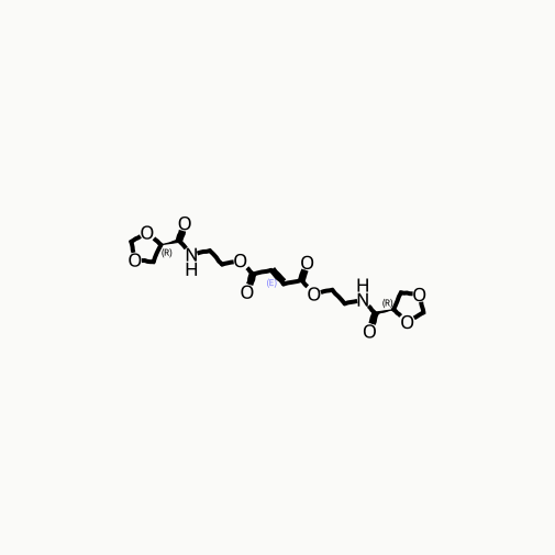 O=C(/C=C/C(=O)OCCNC(=O)[C@H]1COCO1)OCCNC(=O)[C@H]1COCO1